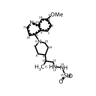 COc1ccc2c(N3CCC(C(C)CNN[SH](=O)=O)CC3)ccnc2c1